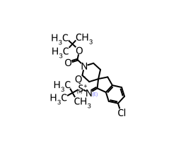 CC(C)(C)OC(=O)N1CCC2(CC1)Cc1ccc(Cl)cc1/C2=N/[S@+]([O-])C(C)(C)C